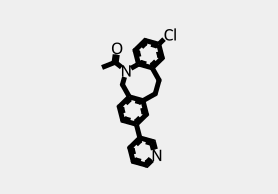 CC(=O)N1Cc2ccc(-c3cccnc3)cc2CCc2cc(Cl)ccc21